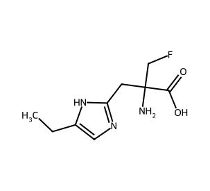 CCc1cnc(CC(N)(CF)C(=O)O)[nH]1